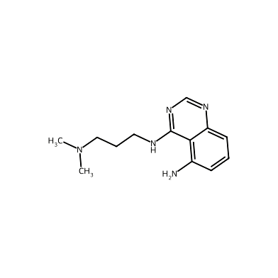 CN(C)CCCNc1ncnc2cccc(N)c12